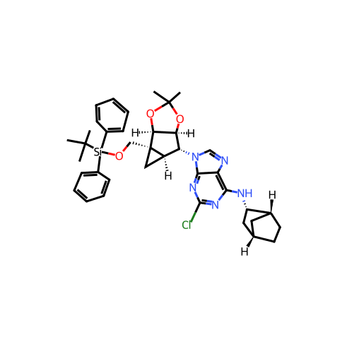 CC1(C)O[C@H]2[C@H](n3cnc4c(N[C@H]5C[C@H]6CC[C@@H]5C6)nc(Cl)nc43)[C@H]3C[C@@]3(CO[Si](c3ccccc3)(c3ccccc3)C(C)(C)C)[C@H]2O1